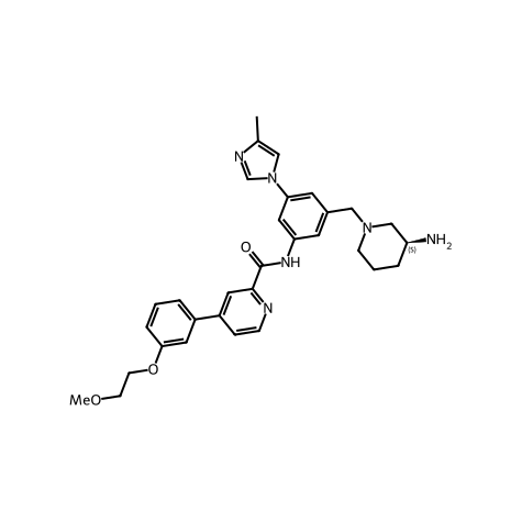 COCCOc1cccc(-c2ccnc(C(=O)Nc3cc(CN4CCC[C@H](N)C4)cc(-n4cnc(C)c4)c3)c2)c1